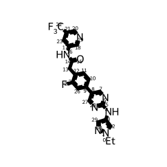 CCn1cc(Nc2ncc(-c3ccc(CC(=O)Nc4cncc(C(F)(F)F)c4)c(F)c3)cn2)cn1